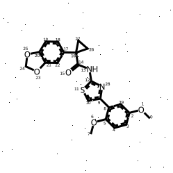 COc1ccc(OC)c(-c2csc(NC(=O)C3(c4ccc5c(c4)OCO5)CC3)n2)c1